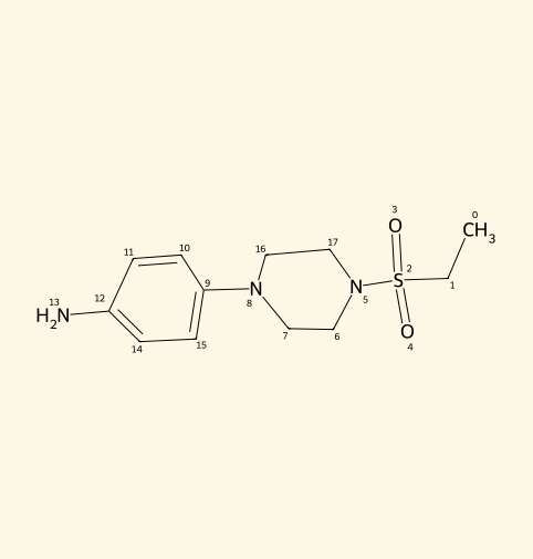 CCS(=O)(=O)N1CCN(c2ccc(N)cc2)CC1